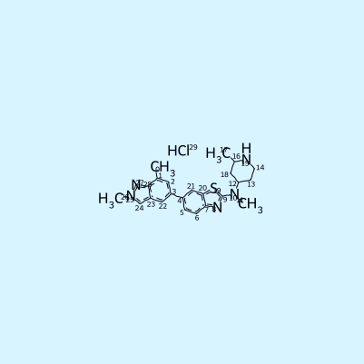 Cc1cc(-c2ccc3nc(N(C)C4CCNC(C)C4)sc3c2)cc2cn(C)nc12.Cl